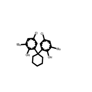 CC(C)(C)c1cc(Cl)cc(C2(c3cc(Cl)cc(C(C)(C)C)c3O)CCCCC2)c1O